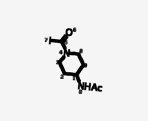 CC(=O)NC1CCN(C(=O)I)CC1